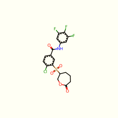 O=C1CCCC(S(=O)(=O)c2cc(C(=O)Nc3cc(F)c(F)c(F)c3)ccc2Cl)CO1